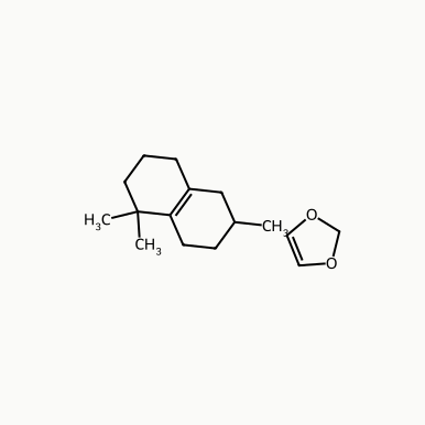 C1=COCO1.CC1CCC2=C(CCCC2(C)C)C1